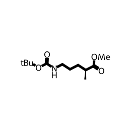 COC(=O)[C@@H](C)CCCNC(=O)OC(C)(C)C